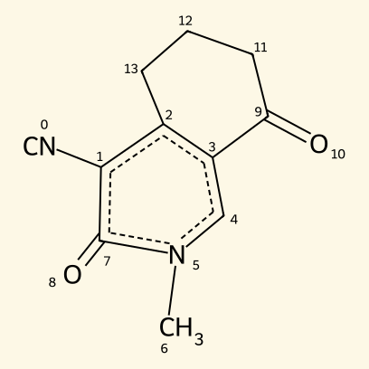 [C-]#[N+]c1c2c(cn(C)c1=O)C(=O)CCC2